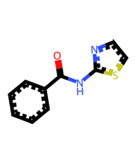 O=C(Nc1n[c]cs1)c1ccccc1